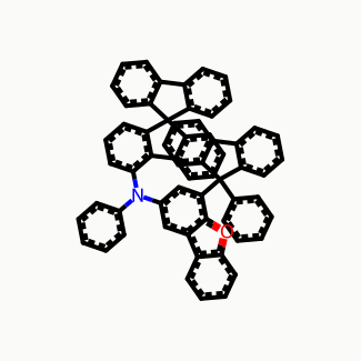 c1ccc(N(c2cc(C3(c4ccccc4)c4ccccc4-c4ccccc43)c3oc4ccccc4c3c2)c2cccc3c2-c2ccccc2C32c3ccccc3-c3ccccc32)cc1